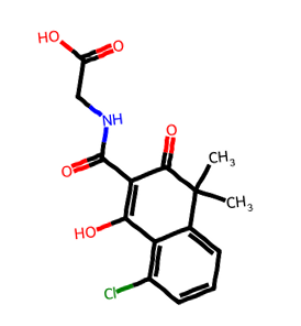 CC1(C)C(=O)C(C(=O)NCC(=O)O)=C(O)c2c(Cl)cccc21